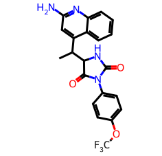 CC(c1cc(N)nc2ccccc12)C1NC(=O)N(c2ccc(OC(F)(F)F)cc2)C1=O